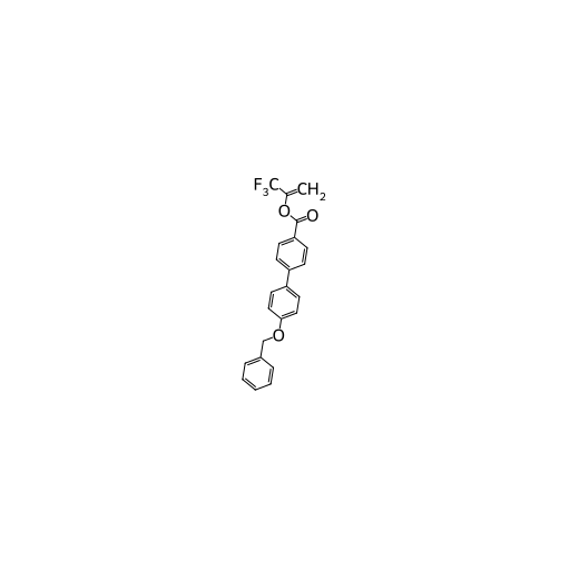 C=C(OC(=O)c1ccc(-c2ccc(OCc3ccccc3)cc2)cc1)C(F)(F)F